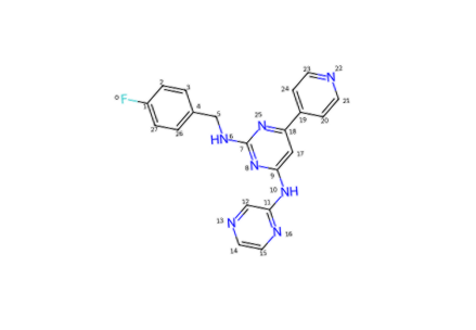 Fc1ccc(CNc2nc(Nc3cnccn3)cc(-c3ccncc3)n2)cc1